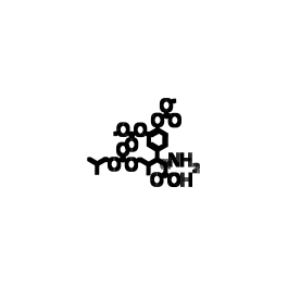 COC(=O)Oc1ccc(C(C(C)COC(=O)OCC(C)C)[C@H](N)C(=O)O)cc1OC(=O)OC